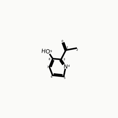 C=C(C)c1ncccc1O